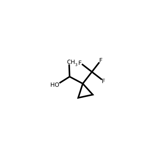 CC(O)C1(C(F)(F)F)CC1